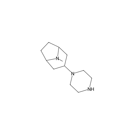 CN1C2CCC1CC(N1CCNCC1)C2